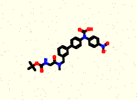 CN(Cc1cccc(-c2ccc(N(C(=O)O)c3ccc([N+](=O)[O-])cc3)cc2)c1)C(=O)CNC(=O)OC(C)(C)C